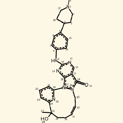 CN1CCC(c2ccc(Nc3ncc4c(=O)n5n(c4n3)-c3cccc(n3)C(C)(O)CC/C=C\C5)cc2)CC1